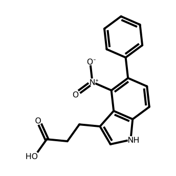 O=C(O)CCc1c[nH]c2ccc(-c3ccccc3)c([N+](=O)[O-])c12